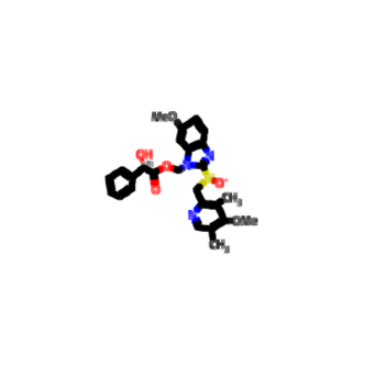 COc1ccc2nc([S+]([O-])Cc3ncc(C)c(OC)c3C)n(COC(=O)[C@@H](O)c3ccccc3)c2c1